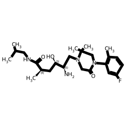 Cc1ccc(F)cc1N1CC(C)(C)N(C[C@H](N)[C@@H](O)C[C@@H](C)C(=O)NCC(C)C)CC1=O